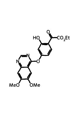 CCOC(=O)C(=O)c1ccc(Oc2ncnc3cc(OC)c(OC)cc23)cc1O